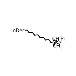 CCCCCCCCCCCCCCCCCCCC[Si](C)(C)OCCC